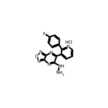 Cl.NNc1nc2nonc2nc1-c1cccnc1-c1ccc(F)cc1